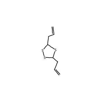 C=CCC1SSC(CC=C)S1